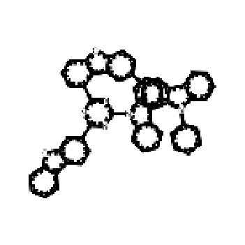 c1ccc(-n2c3ccccc3c3cc(-c4ccc5oc6cccc(-c7nc(-c8ccc9c(c8)oc8ccccc89)nc(-n8c9ccccc9c9ccccc98)n7)c6c5c4)ccc32)cc1